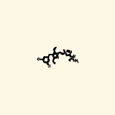 CCc1nn(CC[N+]2(C)C=NC(S(N)(=O)=O)=C2)c(CC)c1Cc1cc(Cl)cc(Cl)c1